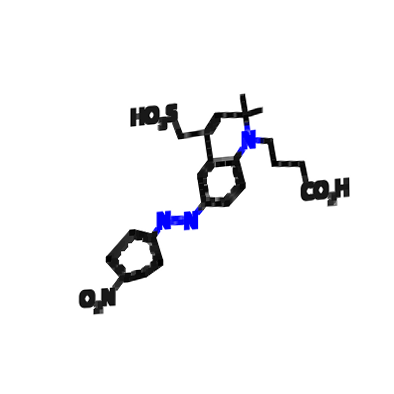 CC1(C)C=C(CS(=O)(=O)O)c2cc(N=Nc3ccc([N+](=O)[O-])cc3)ccc2N1CCCC(=O)O